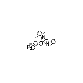 CCc1cccc(CC)c1-c1cc(Oc2cccc(OC(F)(F)F)c2)c(CN2CCc3ccccc3C2)c(C)n1